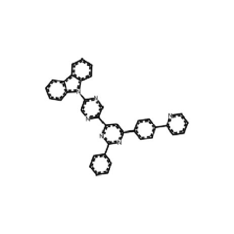 c1ccc(-c2nc(-c3ccc(-c4ccccn4)cc3)cc(-c3cnc(-n4c5ccccc5c5ccccc54)cn3)n2)cc1